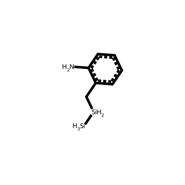 Nc1ccccc1C[SiH2][SiH3]